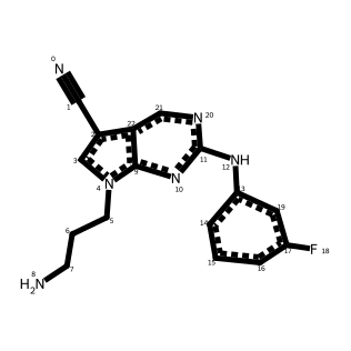 N#Cc1cn(CCCN)c2nc(Nc3cccc(F)c3)ncc12